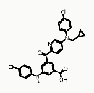 CN(c1ccc(Cl)cc1)c1cc(C(=O)O)cc(C(=O)c2ccc(N(CC3CC3)c3ccc(Cl)cc3)cn2)c1